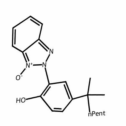 CCCCCC(C)(C)c1ccc(O)c(-n2nc3ccccc3[n+]2[O-])c1